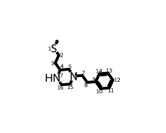 CSCCC1CN(CCc2ccccc2)CCN1